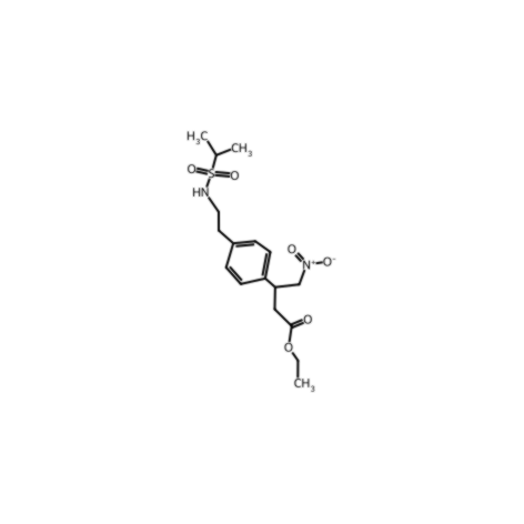 CCOC(=O)CC(C[N+](=O)[O-])c1ccc(CCNS(=O)(=O)C(C)C)cc1